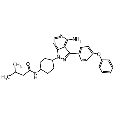 CC(C)CC(=O)NC1CCC(n2nc(-c3ccc(Oc4ccccc4)cc3)c3c(N)ncnc32)CC1